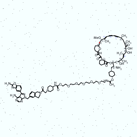 C=C(NCCOCCOCCOCCOCCOCCOC(=O)NC1CCN(CC(=O)N2CCc3cc(Cn4nc(-c5ccc6oc(N)nc6c5)c5c(N)ncnc54)ccc3C2)CC1)O[C@H]1CC[C@H](C[C@@H](N)[C@@H]2C[C@@H](O)[C@H](C)/C=C(\C)[C@@H](O)[C@@H](O)C(=O)[C@H](C)C[C@H](C)/C=C/C=C/C=C(\C)[C@@H](OC)C[C@@H]3CCC[C@@](O)(O3)C(=O)C(=O)N3CCCC[C@H]3C(=O)O2)CC1